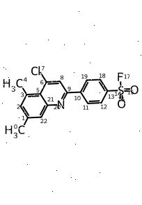 Cc1cc(C)c2c(Cl)cc(-c3ccc(S(=O)(=O)F)cc3)nc2c1